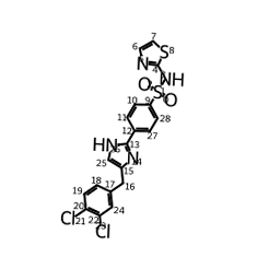 O=S(=O)(Nc1nccs1)c1ccc(-c2nc(Cc3ccc(Cl)c(Cl)c3)c[nH]2)cc1